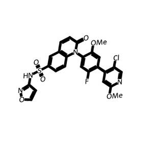 COc1cc(-c2cc(OC)c(-n3c(=O)ccc4cc(S(=O)(=O)Nc5ccon5)ccc43)cc2F)c(Cl)cn1